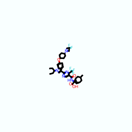 CCC(CC)n1cc(-c2ncc(C(=O)NC3(C(=O)O)CC4CC(C)CC3C4)c(C(F)(F)F)n2)c2ccc(O[C@H]3CC[C@H](N4CC(F)(F)C4)CC3)cc21